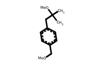 COCc1ccc(CC(C)(C)OC)cc1